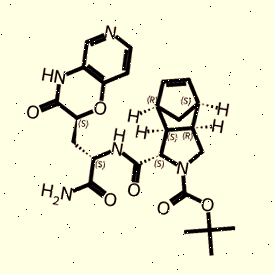 CC(C)(C)OC(=O)N1C[C@H]2[C@@H]([C@H]1C(=O)N[C@@H](C[C@@H]1Oc3ccncc3NC1=O)C(N)=O)[C@H]1C=C[C@@H]2C1